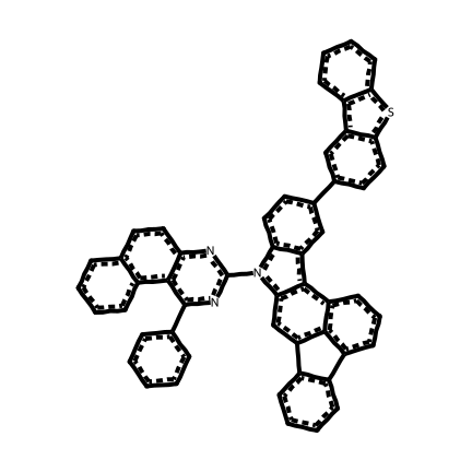 c1ccc(-c2nc(-n3c4ccc(-c5ccc6sc7ccccc7c6c5)cc4c4c5cccc6c5c(cc43)-c3ccccc3-6)nc3ccc4ccccc4c23)cc1